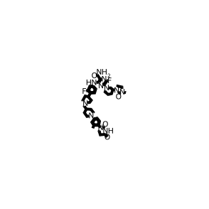 Cc1cc(N2CCC(CN3CCC(c4ccc(Nc5nc(N6CCCC(N7CCN(C)C7=O)C6)c(F)nc5C(N)=O)cc4F)CC3)CC2)ccc1N1CCC(=O)NC1=O